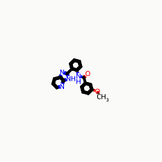 COc1cccc(C(=O)Nc2ccccc2-c2nc3cccnc3[nH]2)c1